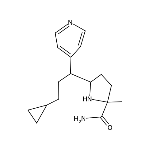 CC1(C(N)=O)CCC(C(CCC2CC2)c2ccncc2)N1